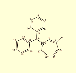 CC1=CN(C(c2ccccc2)c2ccccc2)C=CC=C1